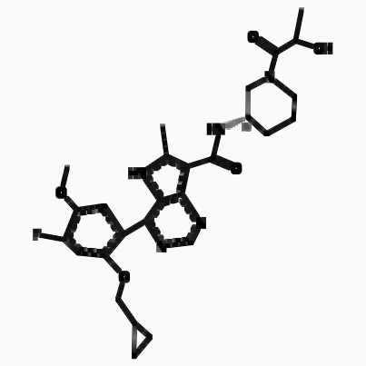 COc1cc(-c2ncnc3c(C(=O)N[C@H]4CCCN(C(=O)C(C)O)C4)c(C)[nH]c23)c(OCC2CC2)cc1F